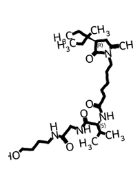 C=C1C[C@H](C(C)(CC)CC)C(=O)N1CCCCCC(=O)N[C@H](C(=O)NCC(=O)NCCCCO)C(C)C